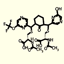 CC(=O)N[C@@H](CSC(c1cncc(O)n1)C1CCCC(C(SC[C@H](NC(C)=O)C(=O)O)c2cncc(OC(F)(F)F)n2)C1=O)C(=O)O